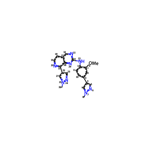 COc1cc(-c2cnn(C)c2)ccc1Nc1ncc2ccnc(-c3cnn(C)c3)c2n1